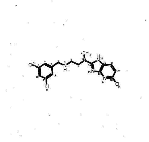 CN(CCNCc1cc(Cl)cc(Cl)c1)c1nc2nc(Cl)ccc2[nH]1